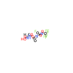 CN(CCNC(=O)O)C(=O)CO[C@H]1Cc2ccccc2C12CCN(CC[C@@]1(c3ccc(F)cc3)CN(C(=O)c3cc(C(F)(F)F)cc(C(F)(F)F)c3)CO1)CC2